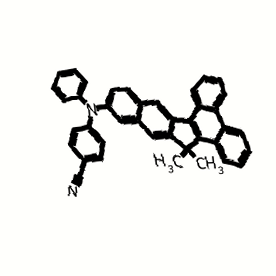 CC1(C)c2cc3cc(N(c4ccccc4)c4ccc(C#N)cc4)ccc3cc2-c2c1c1ccccc1c1ccccc21